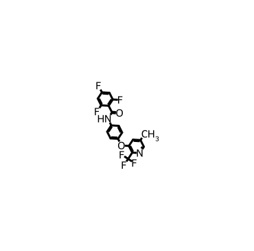 Cc1cnc(C(F)(F)F)c(Oc2ccc(NC(=O)c3c(F)cc(F)cc3F)cc2)c1